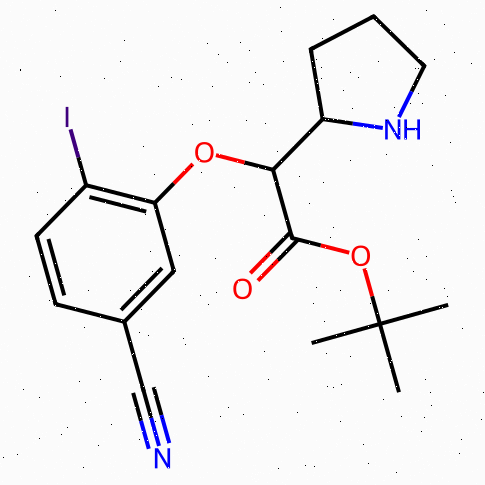 CC(C)(C)OC(=O)C(Oc1cc(C#N)ccc1I)C1CCCN1